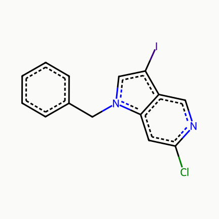 Clc1cc2c(cn1)c(I)cn2Cc1ccccc1